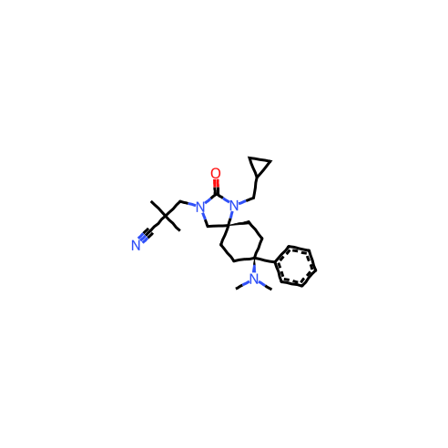 CN(C)[C@]1(c2ccccc2)CC[C@@]2(CC1)CN(CC(C)(C)C#N)C(=O)N2CC1CC1